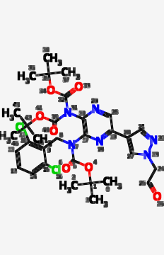 CC(C)(C)OC(=O)N(Cc1c(Cl)cccc1Cl)c1nc(-c2cnn(CC=O)c2)cnc1N(C(=O)OC(C)(C)C)C(=O)OC(C)(C)C